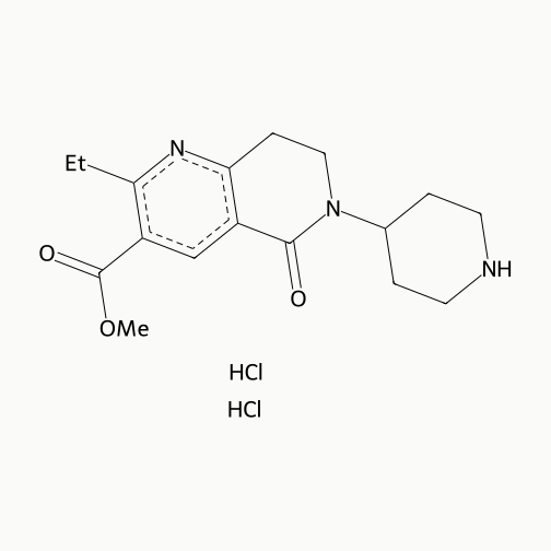 CCc1nc2c(cc1C(=O)OC)C(=O)N(C1CCNCC1)CC2.Cl.Cl